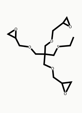 CCSCC(COCC1CO1)(COCC1CO1)COCC1CO1